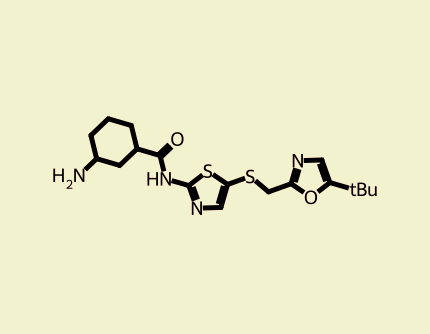 CC(C)(C)c1cnc(CSc2cnc(NC(=O)C3CCCC(N)C3)s2)o1